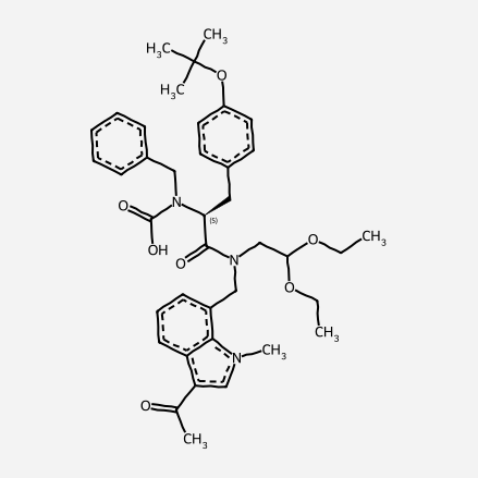 CCOC(CN(Cc1cccc2c(C(C)=O)cn(C)c12)C(=O)[C@H](Cc1ccc(OC(C)(C)C)cc1)N(Cc1ccccc1)C(=O)O)OCC